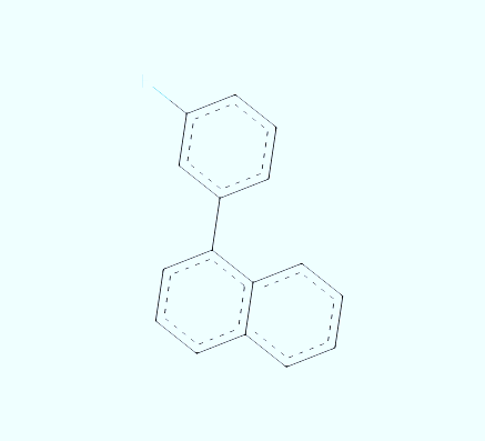 Fc1cccc(-c2cccc3ccccc23)c1